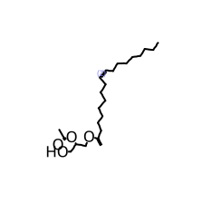 C=C(CCCCCCC/C=C\CCCCCCCC)OCC(CO)OC(C)=O